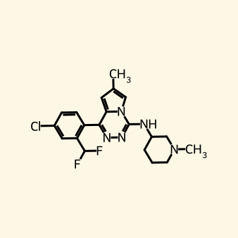 Cc1cc2c(-c3ccc(Cl)cc3C(F)F)nnc(NC3CCCN(C)C3)n2c1